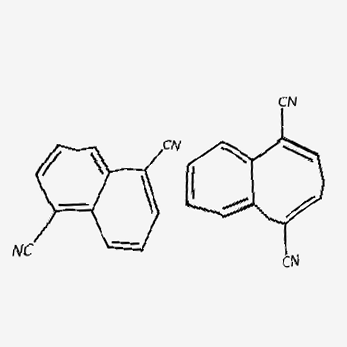 N#Cc1ccc(C#N)c2ccccc12.N#Cc1cccc2c(C#N)cccc12